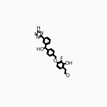 O=CCc1ccc(OCc2ccc(C(O)c3cccc(-c4nn[nH]n4)c3)cc2)c(F)c1O